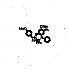 CCCCC1(CC)CN(c2ccccc2)c2cc(N(C)C)c(OC)cc2SN1Cc1ccc(OC)cc1